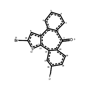 O=c1c2ccccc2c2cc(Br)sc2c2cc(F)ccc12